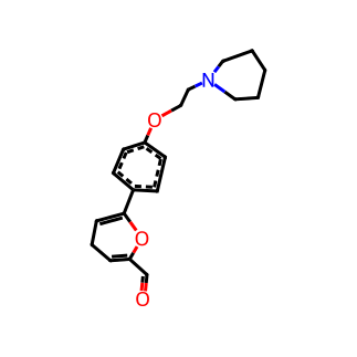 O=CC1=CCC=C(c2ccc(OCCN3CCCCC3)cc2)O1